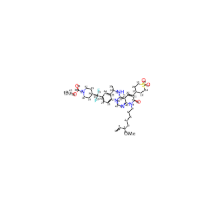 C=CC(CCCCCn1c(=O)c(C2CCS(=O)(=O)CC2)cc2c(NC(C)c3cccc(C(F)(F)C4CCN(C(=O)OC(C)(C)C)CC4)c3)ncnc21)OC